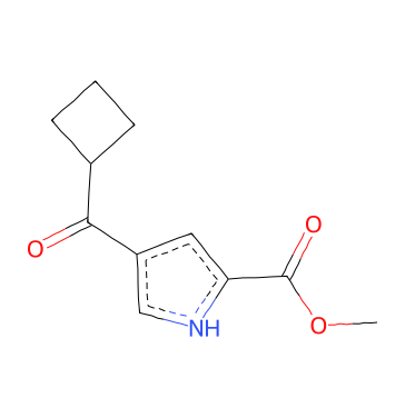 COC(=O)c1cc(C(=O)C2CCC2)c[nH]1